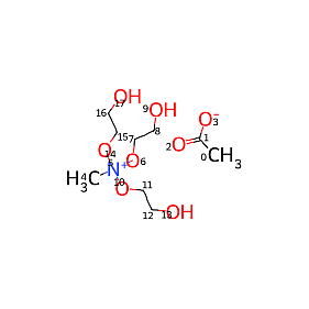 CC(=O)[O-].C[N+](OCCO)(OCCO)OCCO